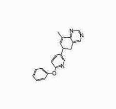 CC1=CC(c2ccc(Oc3ccccc3)nc2)Cc2cncnc21